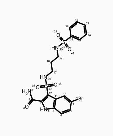 NC(=O)c1[nH]c2ccc(Br)cc2c1S(=O)(=O)NCCCNS(=O)(=O)c1ccccc1